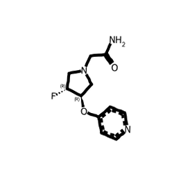 NC(=O)CN1C[C@@H](F)[C@H](Oc2ccncc2)C1